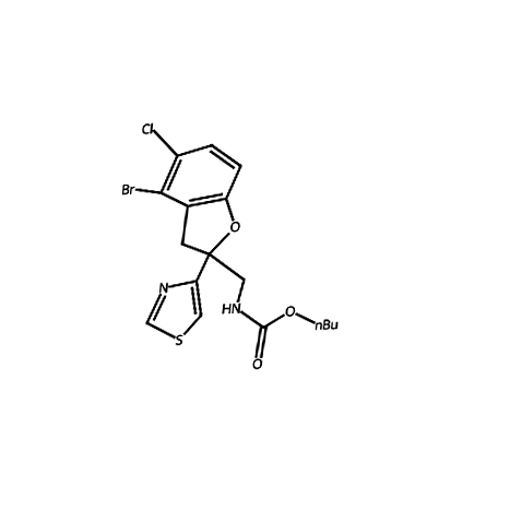 CCCCOC(=O)NCC1(c2cscn2)Cc2c(ccc(Cl)c2Br)O1